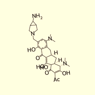 CC(=O)C1=C(O)[C@@H](N(C)C)[C@@H]2C[C@@H]3Cc4c(N(C)C)cc(CN5CC6C(N)C6C5)c(O)c4C(=O)C3=C(O)[C@]2(O)C1=O